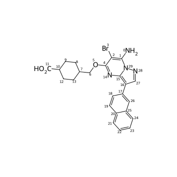 Nc1c(Br)c(OCC2CCC(C(=O)O)CC2)nc2c(-c3ccc4ccccc4c3)cnn12